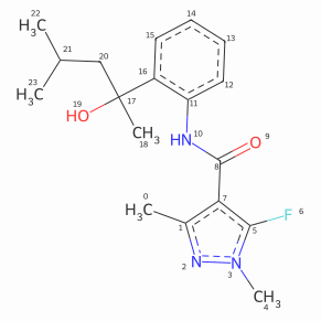 Cc1nn(C)c(F)c1C(=O)Nc1ccccc1C(C)(O)CC(C)C